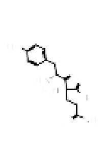 NC(=O)CC[C@](N)(C(=O)O)C(=O)[C@@H](N)Cc1ccc(O)cc1